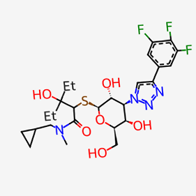 CCC(O)(CC)C(S[C@@H]1O[C@H](CO)[C@H](O)[C@H](n2cc(-c3cc(F)c(F)c(F)c3)nn2)[C@H]1O)C(=O)N(C)CC1CC1